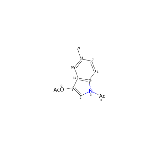 CC(=O)Oc1cn(C(C)=O)c2ccc(C)cc12